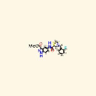 COC(=O)c1n[nH]c2ccc(NC(=O)C3CN(Cc4ccccc4F)CCS3)cc12